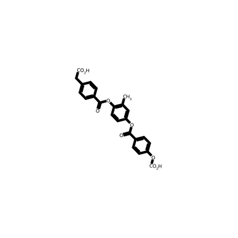 Cc1cc(OC(=O)c2ccc(OC(=O)O)cc2)ccc1OC(=O)c1ccc(CC(=O)O)cc1